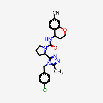 Cc1nnc(C2CCCN2C(=O)NC2CCOc3cc(C#N)ccc32)n1Cc1ccc(Cl)cc1